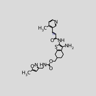 Cc1cc(CNC(=O)OCC2CCc3c(sc(NC(=O)/C=C/c4cnccc4C)c3N)C2)no1